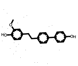 COc1cc(CCc2ccc(-c3ccc(O)cc3)cc2)ccc1O